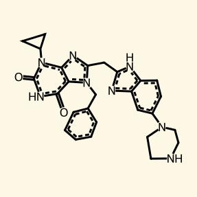 O=c1[nH]c(=O)n(C2CC2)c2nc(Cc3nc4cc(N5CCNCC5)ccc4[nH]3)n(Cc3ccccc3)c12